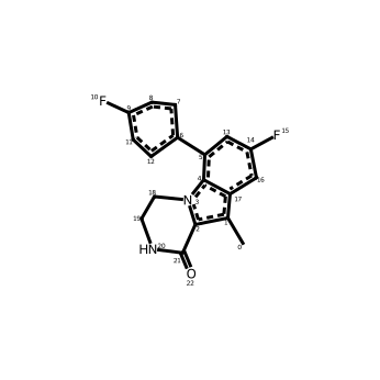 Cc1c2n(c3c(-c4ccc(F)cc4)cc(F)cc13)CCNC2=O